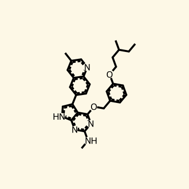 CCC(C)CCOc1cccc(COc2nc(NC)nc3[nH]cc(-c4ccc5ncc(C)cc5c4)c23)c1